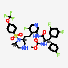 COC(=O)N[C@H](C(=O)Nc1cncc(F)c1CC[C@H]1CNC[C@@H](C)N1S(=O)(=O)c1ccc(OC(F)(F)F)cc1)[C@@H](c1ccc(F)cc1)c1cc(F)cc(F)c1